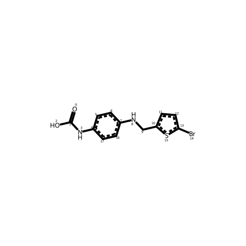 O=C(O)Nc1ccc(NCc2ccc(Br)s2)cc1